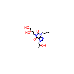 CCCCn1c(=O)n(CCC(O)CO)c(=O)c2c1ncn2CC(C)O